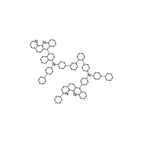 c1ccc(-c2ccc(N(c3ccc(-c4ccccc4-c4cccc(-c5ccc(N(c6ccc(-c7ccccc7)cc6)c6ccc(-c7c8ccccc8nc8c7ccc7cccnc78)c7ccccc67)cc5)c4)cc3)c3ccc(-c4c5ccccc5nc5c4ccc4ccc(-c6ccccc6)nc45)cc3)cc2)cc1